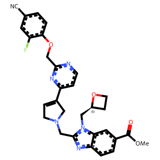 COC(=O)c1ccc2nc(CN3CC=C(c4ccnc(COc5ccc(C#N)cc5F)n4)C3)n(C[C@@H]3CCO3)c2c1